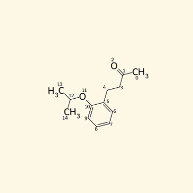 CC(=O)CCc1ccccc1OC(C)C